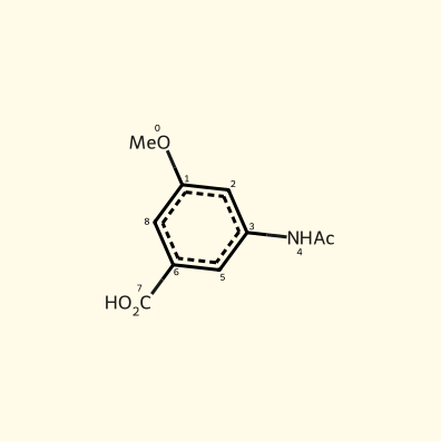 COc1cc(NC(C)=O)cc(C(=O)O)c1